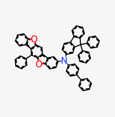 c1ccc(-c2ccc(N(c3ccc4c(c3)C(c3ccccc3)(c3ccccc3)c3ccccc3-4)c3ccc4oc5c(-c6ccccc6)c6c(cc5c4c3)oc3ccccc36)cc2)cc1